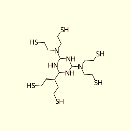 SCCC(CCS)C1NC(N(CCS)CCS)NC(N(CCS)CCS)N1